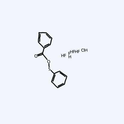 Cl.F.F.F.F.O=C(OSc1ccccc1)c1ccccc1